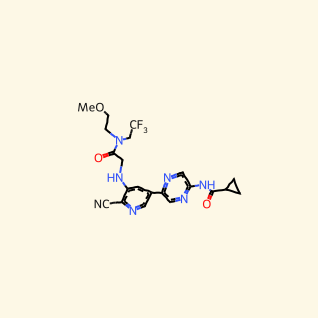 COCCN(CC(F)(F)F)C(=O)CNc1cc(-c2cnc(NC(=O)C3CC3)cn2)cnc1C#N